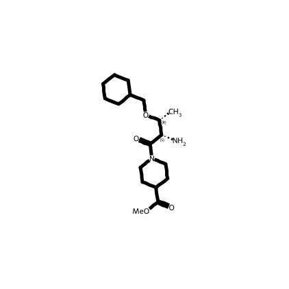 COC(=O)C1CCN(C(=O)[C@@H](N)[C@@H](C)OCC2CCCCC2)CC1